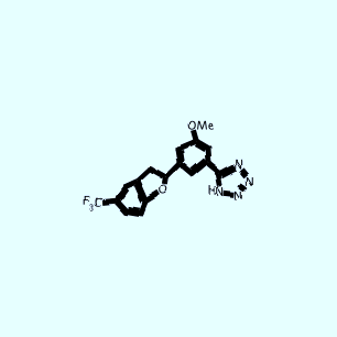 COc1cc(-c2nnn[nH]2)cc(C2Cc3cc(C(F)(F)F)ccc3O2)c1